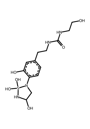 O=C(NCCO)NCCc1ccc(N2CC(O)NS2(O)O)c(O)c1